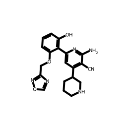 N#Cc1c(C2CCCNC2)cc(-c2c(O)cccc2OCc2ncon2)nc1N